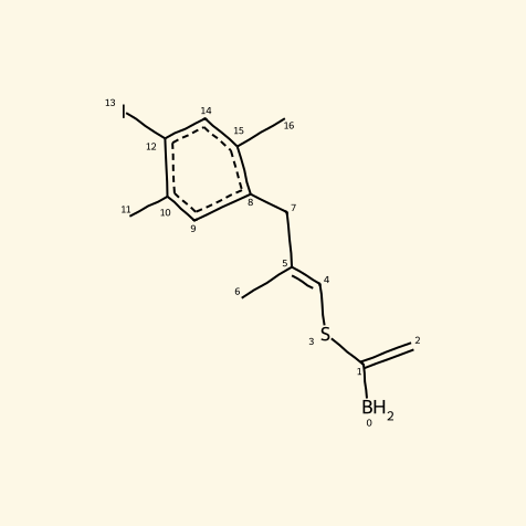 BC(=C)S/C=C(\C)Cc1cc(C)c(I)cc1C